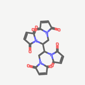 O=C1C=CC(=O)N1CC(C(CN1C(=O)C=CC1=O)N1C(=O)C=CC1=O)N1C(=O)C=CC1=O